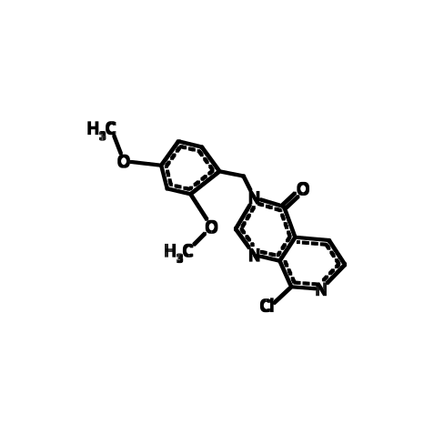 COc1ccc(Cn2cnc3c(Cl)nccc3c2=O)c(OC)c1